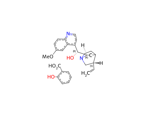 C=C[C@@H]1CN2CCC1C[C@@H]2[C@H](O)c1ccnc2ccc(OC)cc12.O=C(O)c1ccccc1O